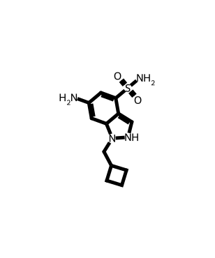 NC1=CC2C(=CNN2CC2CCC2)C(S(N)(=O)=O)=C1